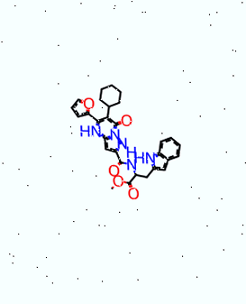 COC(=O)C(Cc1cc2ccccc2[nH]1)NC(=O)c1cc2[nH]c(-c3ccco3)c(C3CCCCC3)c(=O)n2n1